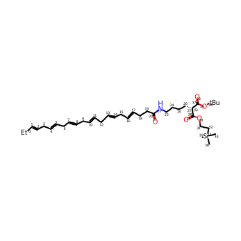 CCC=CCC=CCC=CCC=CCC=CCC=CCCC(=O)NCCCC[C@@H](C(=O)OCC[Si](C)(C)C)C(=O)OC(C)(C)C